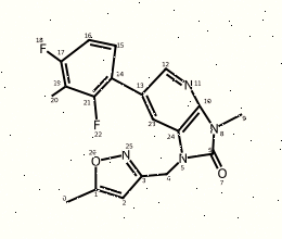 Cc1cc(Cn2c(=O)n(C)c3ncc(-c4ccc(F)c(C)c4F)cc32)no1